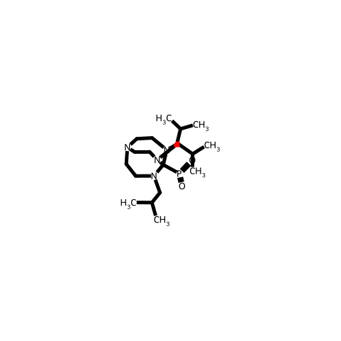 CC(C)CN1CCN2CCN(CC(C)C)C1(P(=O)=O)N(CC(C)C)CC2